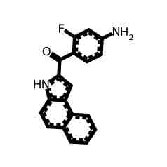 Nc1ccc(C(=O)c2cc3c(ccc4ccccc43)[nH]2)c(F)c1